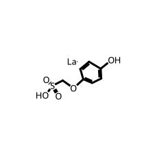 O=S(=O)(O)COc1ccc(O)cc1.[La]